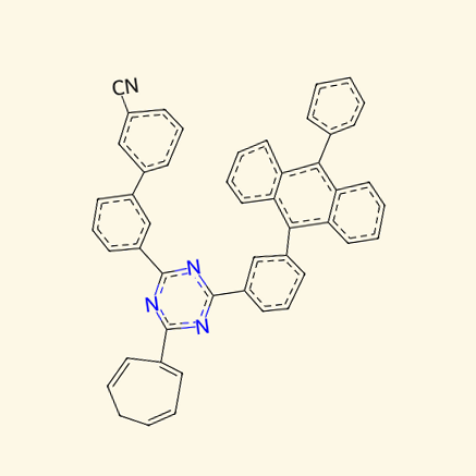 N#Cc1cccc(-c2cccc(-c3nc(C4=CC=CCC=C4)nc(-c4cccc(-c5c6ccccc6c(-c6ccccc6)c6ccccc56)c4)n3)c2)c1